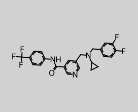 O=C(Nc1ccc(C(F)(F)F)cc1)c1cncc(CN(Cc2ccc(F)c(F)c2)C2CC2)c1